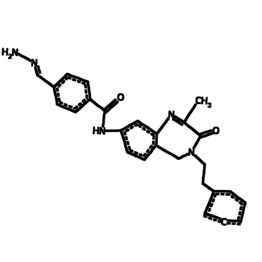 CC1=Nc2cc(NC(=O)c3ccc(C=NN)cc3)ccc2CN(CCc2ccccc2)C1=O